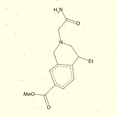 CCC1CN(CC(N)=O)Cc2cc(C(=O)OC)ccc21